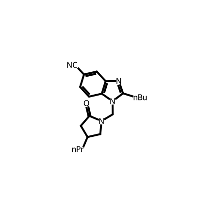 CCCCc1nc2cc(C#N)ccc2n1CN1CC(CCC)CC1=O